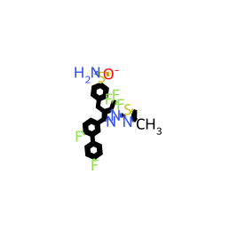 Cc1csc(-n2nc(-c3ccc(F)c(-c4ccc(F)cc4)c3)c(Cc3ccc([S+](N)[O-])cc3)c2C(F)(F)F)n1